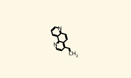 C=Cc1ccnc2c1ccc1ncccc12